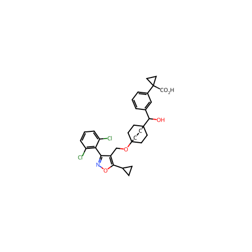 O=C(O)C1(c2cccc(C(O)C34CCC(OCc5c(-c6c(Cl)cccc6Cl)noc5C5CC5)(CC3)CC4)c2)CC1